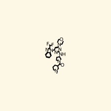 CN1CCCC(C(=O)N2CC[C@H](Nc3nc(N4CCOCC4)cc(-n4c(C(F)F)nc5ccccc54)n3)C2)C1